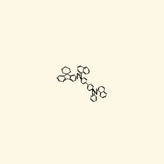 c1ccc(N(c2ccc(-c3ccc(N(c4ccc5c(c4)C4(CCCCC4)c4ccccc4-5)c4cccc5ccccc45)cc3)cc2)c2cccc3ccccc23)cc1